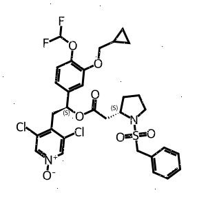 O=C(C[C@@H]1CCCN1S(=O)(=O)Cc1ccccc1)O[C@@H](Cc1c(Cl)c[n+]([O-])cc1Cl)c1ccc(OC(F)F)c(OCC2CC2)c1